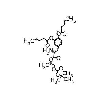 CCCCC(=O)Oc1ccc(C[C@H](N)C(=O)O[C@@H](C)COC(=O)OC(C)(C)C)cc1OC(=O)CCCC